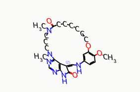 COc1ccc2cc1OCCCCCCC(=O)N(C)CCCN(C)c1ncnc3c1/C(=C/N2)C(=O)N3